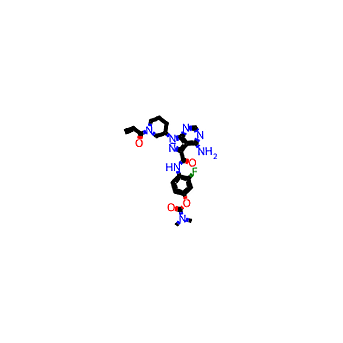 C=CC(=O)N1CCCC(n2nc(C(=O)Nc3ccc(OC(=O)N(C)C)cc3F)c3c(N)ncnc32)C1